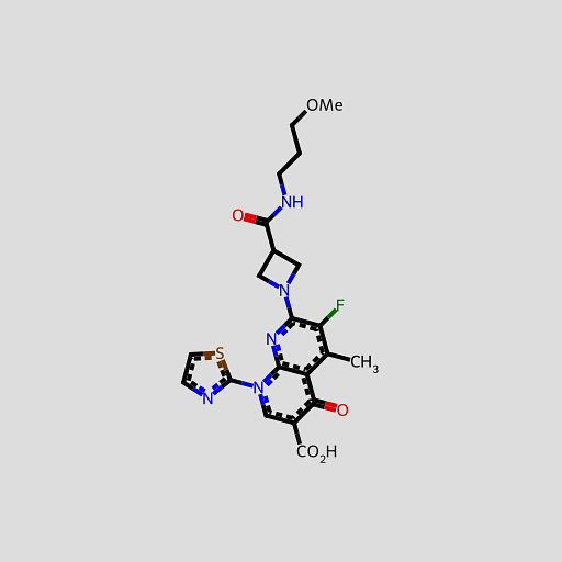 COCCCNC(=O)C1CN(c2nc3c(c(C)c2F)c(=O)c(C(=O)O)cn3-c2nccs2)C1